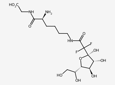 N[C@@H](CCCCNC(=O)C(F)(F)[C@]1(O)O[C@@H](C(O)CO)[C@H](O)[C@H]1O)C(=O)NCC(=O)O